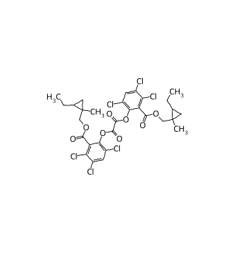 CCC1CC1(C)COC(=O)c1c(Cl)c(Cl)cc(Cl)c1OC(=O)C(=O)Oc1c(Cl)cc(Cl)c(Cl)c1C(=O)OCC1(C)CC1CC